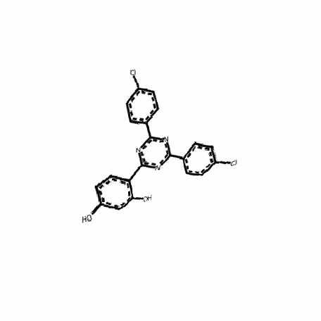 Oc1ccc(-c2nc(-c3ccc(Cl)cc3)nc(-c3ccc(Cl)cc3)n2)c(O)c1